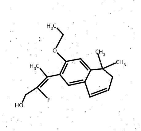 CCOc1cc2c(cc1C(C)=C(F)CO)C=CCC2(C)C